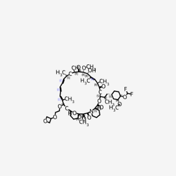 CO[C@@H]1C[C@H](C[C@@H](C)[C@@H]2CC(=O)[C@H](C)/C=C(\C)[C@@H](O)[C@@H](OC)C(=O)[C@H](C)C[C@H](C)/C=C/C=C/C=C(\C)[C@H](OCCOC3COC3)C[C@@H]3CC[C@@H](C)[C@@](O)(O3)C(=O)C(=O)N3CCCC[C@H]3C(=O)O2)CC[C@H]1OC(F)F